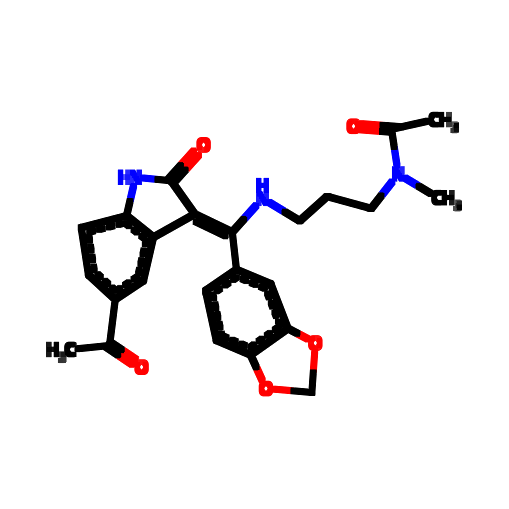 CC(=O)c1ccc2c(c1)/C(=C(/NCCCN(C)C(C)=O)c1ccc3c(c1)OCO3)C(=O)N2